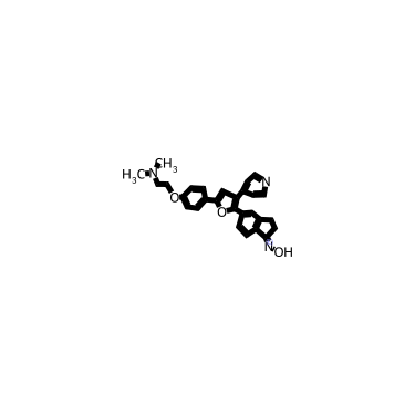 CN(C)CCOc1ccc(-c2cc(-c3ccncc3)c(-c3ccc4c(c3)CC/C4=N\O)o2)cc1